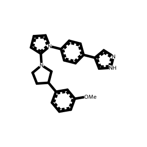 COc1cccc(C2CCN(c3cccn3-c3ccc(-c4cn[nH]c4)cc3)C2)c1